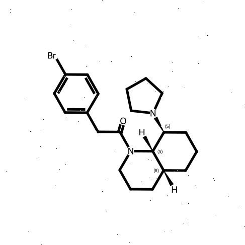 O=C(Cc1ccc(Br)cc1)N1CCC[C@H]2CCC[C@H](N3CCCC3)[C@H]21